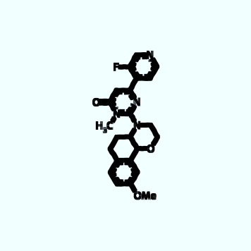 COc1ccc2c(c1)C1OCCN(c3nc(-c4ccncc4F)cc(=O)n3C)C1CC2